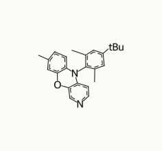 Cc1ccc2c(c1)Oc1cnccc1N2c1c(C)cc(C(C)(C)C)cc1C